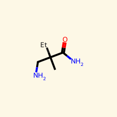 CCC(C)(CN)C(N)=O